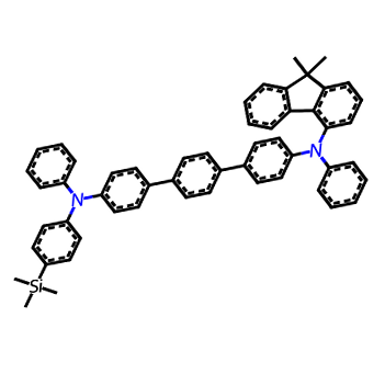 CC1(C)c2ccccc2-c2c(N(c3ccccc3)c3ccc(-c4ccc(-c5ccc(N(c6ccccc6)c6ccc([Si](C)(C)C)cc6)cc5)cc4)cc3)cccc21